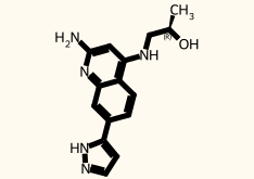 C[C@@H](O)CNc1cc(N)nc2cc(-c3ccn[nH]3)ccc12